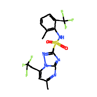 Cc1cc(C(F)(F)F)n2nc(S(=O)(=O)Nc3c(C)cccc3C(F)(F)F)nc2n1